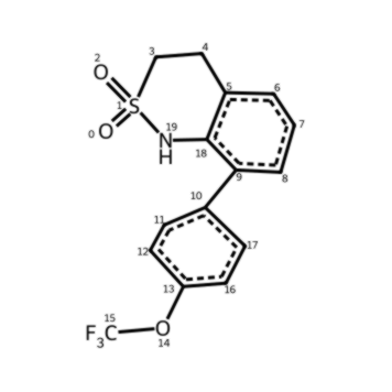 O=S1(=O)CCc2cccc(-c3ccc(OC(F)(F)F)cc3)c2N1